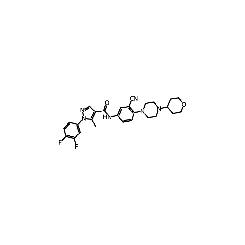 Cc1c(C(=O)Nc2ccc(N3CCN(C4CCOCC4)CC3)c(C#N)c2)cnn1-c1ccc(F)c(F)c1